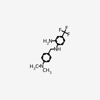 CN(C)c1ccc(CNc2ccc(C(F)(F)F)cc2N)cc1